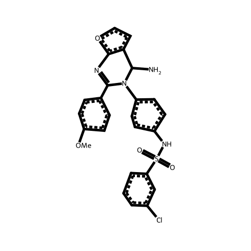 COc1ccc(C2=Nc3occc3C(N)N2c2ccc(NS(=O)(=O)c3cccc(Cl)c3)cc2)cc1